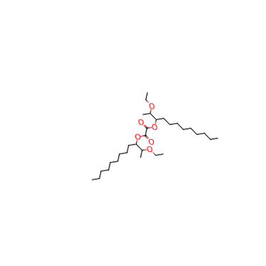 CCCCCCCCCC(OC(=O)C(=O)OC(CCCCCCCCC)C(C)OCC)C(C)OCC